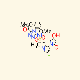 COc1cccc(OC)c1-n1c(NS(=O)(=O)[C@@H](C)Cc2ncc(F)cc2N2C[C@H](O)CC2=O)nnc1-c1ccco1